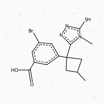 CC1CC(c2cc(Br)cc(C(=O)O)c2)(c2nnc(S)n2C)C1